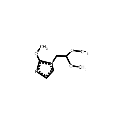 COc1nccn1CC(OC)OC